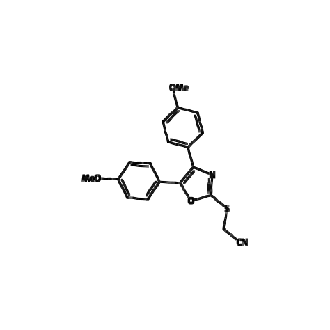 COc1ccc(-c2nc(SCC#N)oc2-c2ccc(OC)cc2)cc1